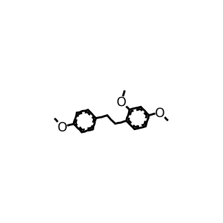 COc1ccc(CCc2ccc(OC)cc2OC)cc1